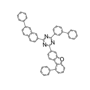 c1ccc(-c2cccc(-c3nc(-c4ccc5ccc(-c6ccccc6)cc5c4)nc(-c4ccc5c(c4)oc4cccc(-c6ccccc6)c45)n3)c2)cc1